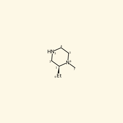 CC[C@H]1CNCCN1C